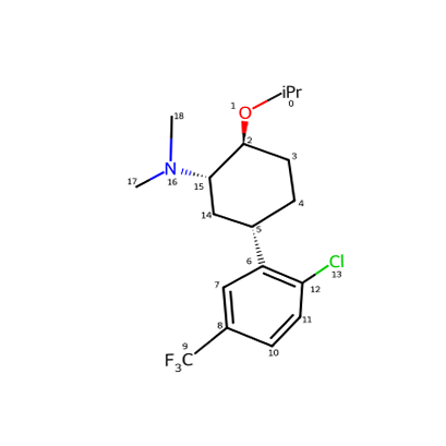 CC(C)O[C@H]1CC[C@H](c2cc(C(F)(F)F)ccc2Cl)C[C@@H]1N(C)C